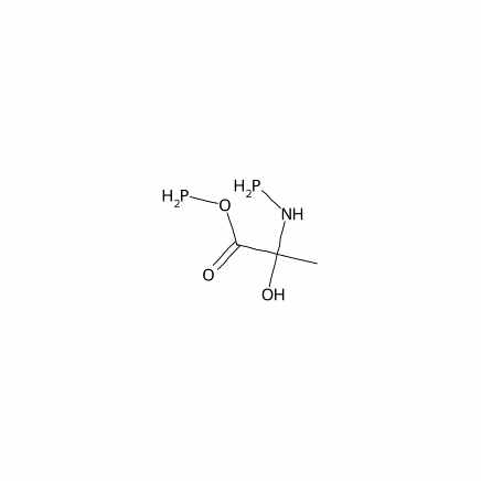 CC(O)(NP)C(=O)OP